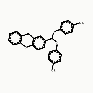 Cc1ccc(OC(Oc2ccc(C)cc2)c2ccc3c(c2)Cc2ccccc2O3)cc1